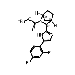 CC(C)(C)OC(=O)N1[C@H]2CC[C@@H](C2)[C@H]1c1ncc(-c2ccc(Br)cc2F)[nH]1